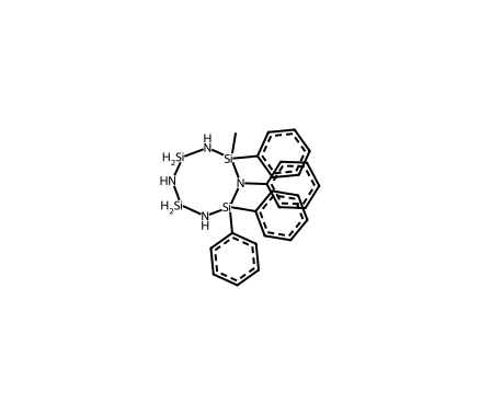 C[Si]1(c2ccccc2)N[SiH2]N[SiH2]N[Si](c2ccccc2)(c2ccccc2)N1c1ccccc1